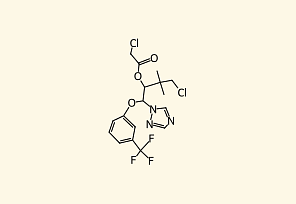 CC(C)(CCl)C(OC(=O)CCl)C(Oc1cccc(C(F)(F)F)c1)n1cncn1